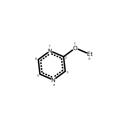 CCOc1cnccn1